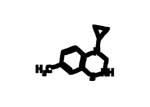 Cc1ccc2c(c1)SNCN2C1CC1